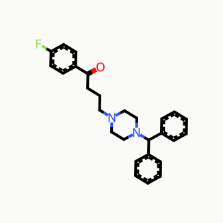 O=C(CCCN1CCN(C(c2ccccc2)c2ccccc2)CC1)c1ccc(F)cc1